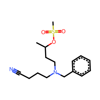 CC(CCN(CCCC#N)Cc1ccccc1)OS(C)(=O)=O